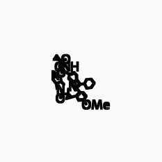 COc1ccc2c(c1)C1CC1(C(=O)N1CC3CN(C)CC3C1)Cn1c-2c(C2CCCCC2)c2ccc(C(=O)NS(=O)(=O)C3CC3)cc21